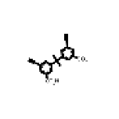 C#Cc1cc(C(=O)O)cc(C(C)(C)c2cc(C#C)cc(C(=O)O)c2)c1